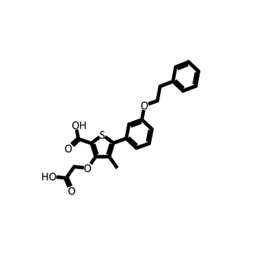 Cc1c(-c2cccc(OCCc3ccccc3)c2)sc(C(=O)O)c1OCC(=O)O